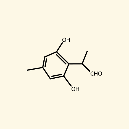 Cc1cc(O)c(C(C)C=O)c(O)c1